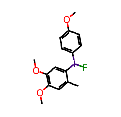 COc1ccc(I(F)c2cc(OC)c(OC)cc2C)cc1